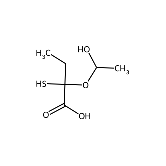 CCC(S)(OC(C)O)C(=O)O